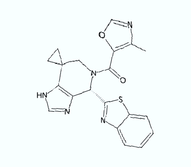 Cc1ncoc1C(=O)N1CC2(CC2)c2[nH]cnc2[C@H]1c1nc2ccccc2s1